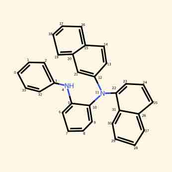 c1ccc(Nc2ccccc2N(c2ccc3ccccc3c2)c2cccc3ccccc23)cc1